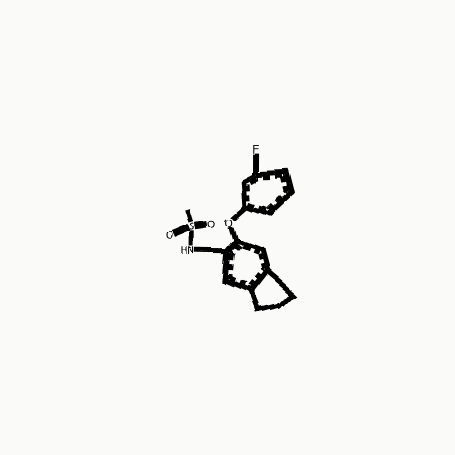 CS(=O)(=O)Nc1cc2c(cc1Oc1cccc(F)c1)CCC2